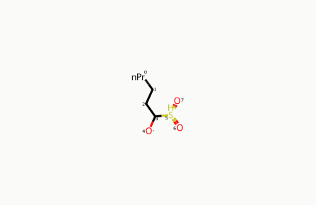 CCCCCC([O])[SH](=O)=O